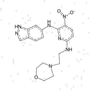 O=[N+]([O-])c1ccc(NCCN2CCOCC2)nc1Nc1ccc2cn[nH]c2c1